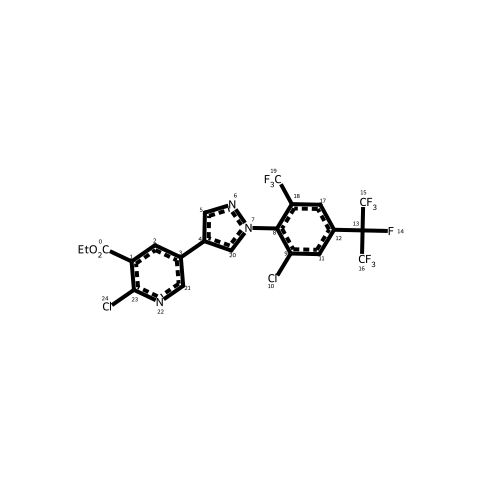 CCOC(=O)c1cc(-c2cnn(-c3c(Cl)cc(C(F)(C(F)(F)F)C(F)(F)F)cc3C(F)(F)F)c2)cnc1Cl